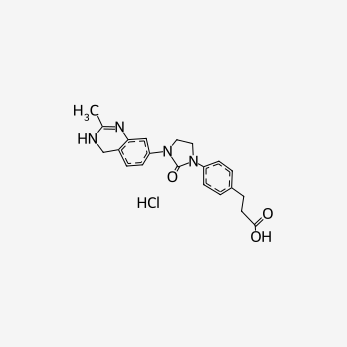 CC1=Nc2cc(N3CCN(c4ccc(CCC(=O)O)cc4)C3=O)ccc2CN1.Cl